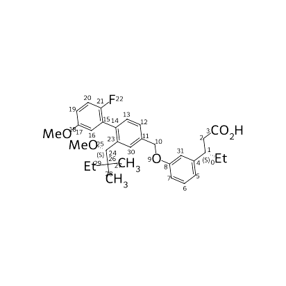 CC[C@@H](CC(=O)O)c1cccc(OCc2ccc(-c3cc(OC)ccc3F)c([C@@H](OC)C(C)(C)CC)c2)c1